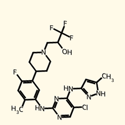 Cc1cc(Nc2nc(Nc3cc(C4CCN(CC(O)C(F)(F)F)CC4)c(F)cc3C)ncc2Cl)n[nH]1